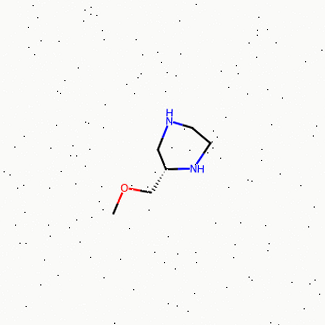 COC[C@@H]1CNCCN1